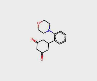 O=C1CC(=O)CC(c2ccccc2N2CCOCC2)C1